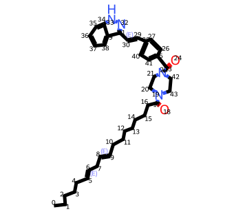 CCCCC/C=C/C/C=C/CCCCCCCC(=O)N1CCN(C(=O)c2ccc(/C=C/c3n[nH]c4ccccc34)cc2)CC1